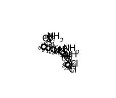 CC(C)(C[C@@H]1c2ccccc2CC12CCN(c1cc3nc(Sc4cccc(Cl)c4Cl)[nH]c3c(N)n1)CC2)[S+](N)[O-]